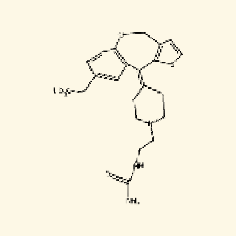 NC(=O)NCCN1CCC(=C2c3cc(CC(=O)O)ccc3OCc3ccsc32)CC1